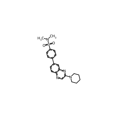 CN(C)S(=O)(=O)c1ccc(-c2ccc3ncc(N4CCCCC4)nc3c2)cc1